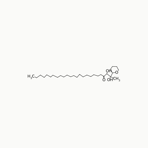 CCCCCCCCCCCCCCCCCCCCCC(=O)C(O)C(C)(O)C1CCCCO1